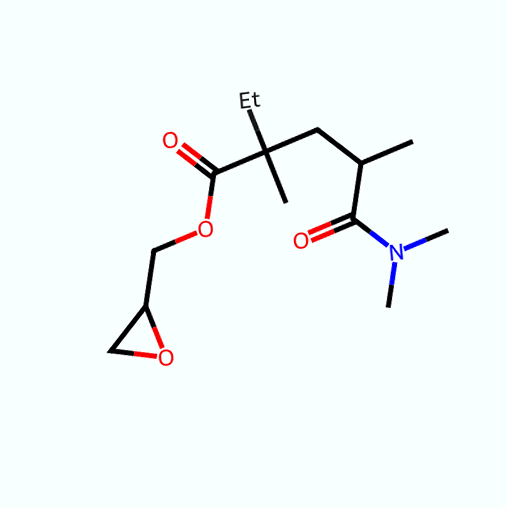 CCC(C)(CC(C)C(=O)N(C)C)C(=O)OCC1CO1